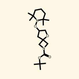 CC(C)(C)OC(=O)N1CC2(CC(ON3C(C)(C)CCCC3(C)C)CO2)C1